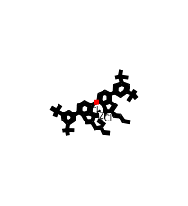 CCCCC1=Cc2c(-c3cc(C(C)(C)C)cc(C(C)(C)C)c3)ccc(C)c2[CH]1[Zr]([Cl])([Cl])([CH2]C)[CH]1C(CCCC)=Cc2c(-c3cc(C(C)(C)C)cc(C(C)(C)C)c3)ccc(C)c21